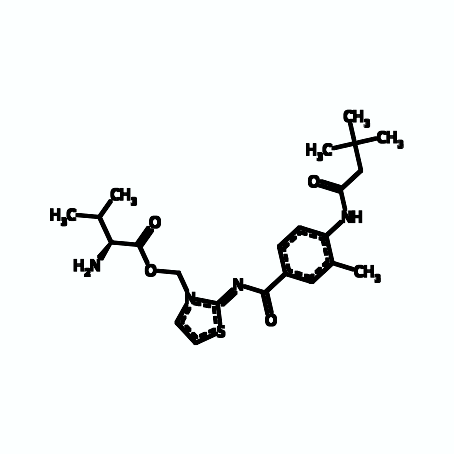 Cc1cc(C(=O)N=c2sccn2COC(=O)[C@@H](N)C(C)C)ccc1NC(=O)CC(C)(C)C